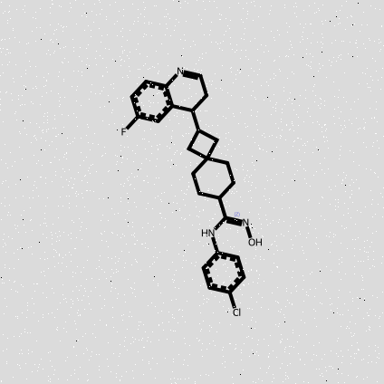 O/N=C(\Nc1ccc(Cl)cc1)C1CCC2(CC1)CC(C1CC=Nc3ccc(F)cc31)C2